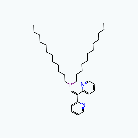 CCCCCCCCCCCCP(C=C(c1ccccn1)c1ccccn1)CCCCCCCCCCCC